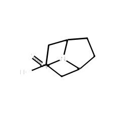 O=NN1C2CCC1CC(O)C2